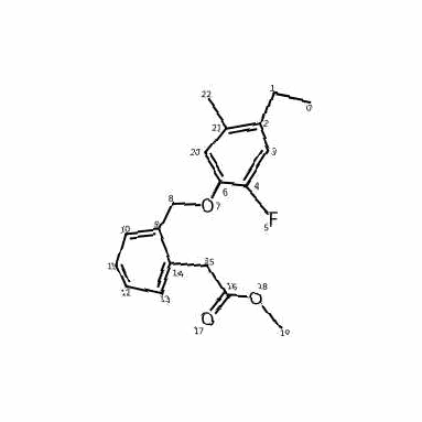 CCc1cc(F)c(OCc2ccccc2CC(=O)OC)cc1C